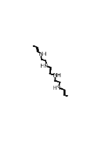 CC=CNCCNCCNCCNC=CC